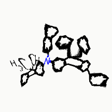 CC1(C)c2ccccc2-c2ccc(N(c3ccc4c(c3)C(c3ccccc3)(c3ccccc3)c3ccc(-c5ccccc5)cc3-4)c3ccc4ccccc4c3)cc21